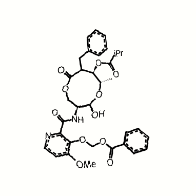 COc1ccnc(C(=O)N[C@H]2COC(=O)C(Cc3ccccc3)[C@@H](OC(=O)C(C)C)[C@H](C)OC2O)c1OCOC(=O)c1ccccc1